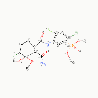 CCOC1(OCC)C(Cl)CCC(C(=O)Nc2cc(P(=O)(OCC)OCC)c(Cl)cc2F)C1C(N)=O